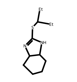 CCC(CC)SC1=NC2CCCCC2N1